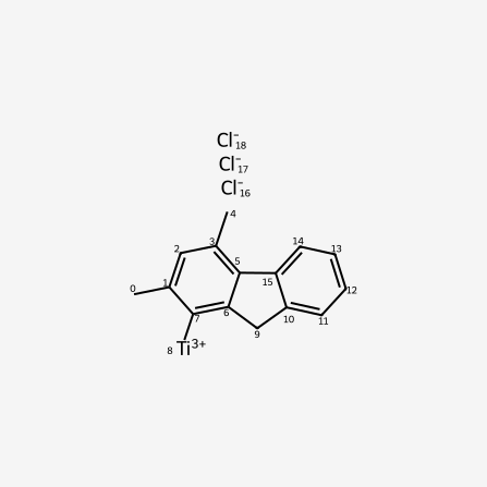 Cc1cc(C)c2c([c]1[Ti+3])Cc1ccccc1-2.[Cl-].[Cl-].[Cl-]